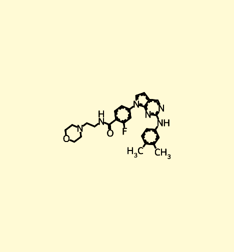 Cc1ccc(Nc2ncc3ccn(-c4ccc(C(=O)NCCN5CCOCC5)c(F)c4)c3n2)cc1C